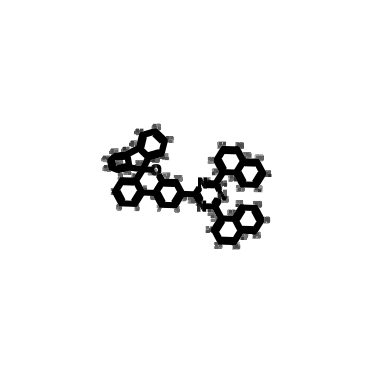 c1ccc2c(c1)-c1ccc(-c3nc(-c4cccc5ccccc45)nc(-c4cccc5ccccc45)n3)cc1OC21c2ccccc2-c2ccccc21